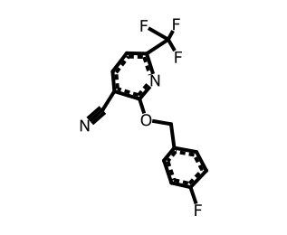 N#Cc1ccc(C(F)(F)F)nc1OCc1ccc(F)cc1